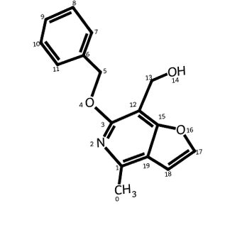 Cc1nc(OCc2ccccc2)c(CO)c2occc12